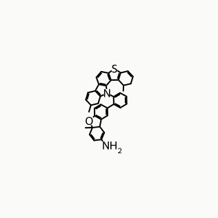 CC1C=Cc2c(n(-c3ccccc3-c3ccc4c(c3)C3C=C(N)C=CC3(C)O4)c3c2ccc2sc4c(c23)C(C)CC=C4)C1